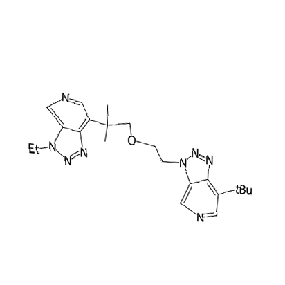 CCn1nnc2c(C(C)(C)COCCn3nnc4c(C(C)(C)C)cncc43)cncc21